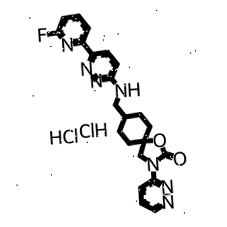 Cl.Cl.O=C1OC2(CCC(CNc3ccc(-c4cccc(F)n4)nn3)CC2)CN1c1cccnn1